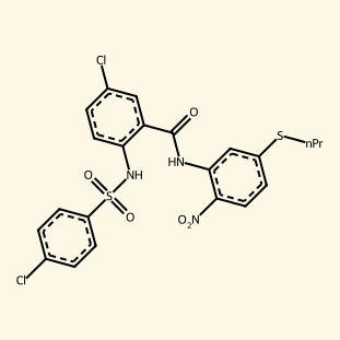 CCCSc1ccc([N+](=O)[O-])c(NC(=O)c2cc(Cl)ccc2NS(=O)(=O)c2ccc(Cl)cc2)c1